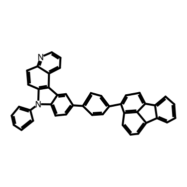 c1ccc(-n2c3ccc(-c4ccc(-c5ccc6c7c(cccc57)-c5ccccc5-6)cc4)cc3c3c4cccnc4ccc32)cc1